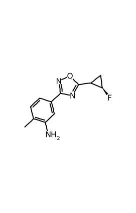 Cc1ccc(-c2noc(C3C[C@H]3F)n2)cc1N